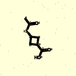 CC(=O)SC1CC(C(=O)O)C1